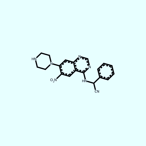 N#CC(Nc1ncnc2cc(N3CCNCC3)c([N+](=O)[O-])cc12)c1ccccc1